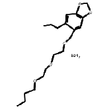 CCCCOCCOCCOCc1cc2c(cc1CCC)OCO2.[BaH2]